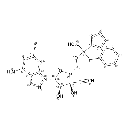 C#C[C@@]1(O)[C@@H](COC(Cc2ccccc2)(C(=O)O)c2cscn2)O[C@@H](n2ncc3c(N)nc(Cl)nc32)[C@@H]1O